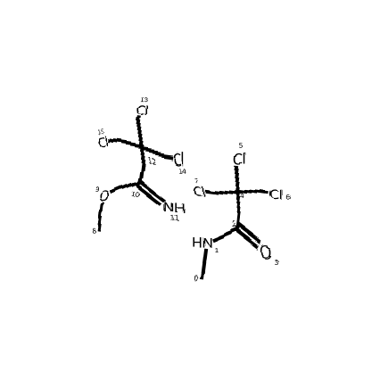 CNC(=O)C(Cl)(Cl)Cl.COC(=N)C(Cl)(Cl)Cl